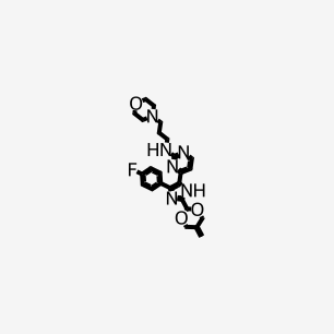 C=C1COC(c2nc(-c3ccc(F)cc3)c(-c3ccnc(NCCCN4CCOCC4)n3)[nH]2)OC1